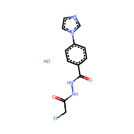 Cl.O=C(CCl)NNC(=O)c1ccc(-n2ccnc2)cc1